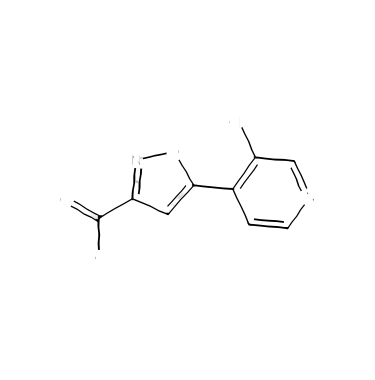 O=C(Cl)c1cc(-c2ccncc2Cl)on1